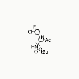 CC(=O)c1cc(C(C)(C)NC(=O)OC(C)(C)C)cc(-c2ccc(F)c(Cl)c2)n1